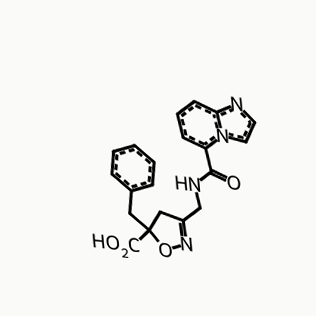 O=C(NCC1=NOC(Cc2ccccc2)(C(=O)O)C1)c1cccc2nccn12